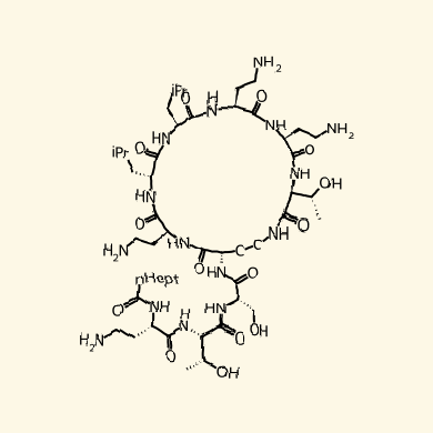 CCCCCCCC(=O)N[C@@H](CCN)C(=O)N[C@H](C(=O)N[C@@H](CO)C(=O)N[C@H]1CCNC(=O)[C@H]([C@@H](C)O)NC(=O)[C@H](CCN)NC(=O)[C@H](CCN)NC(=O)[C@H](CC(C)C)NC(=O)[C@@H](CC(C)C)NC(=O)[C@H](CCN)NC1=O)[C@@H](C)O